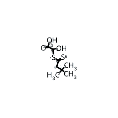 CC(C)(C)CC(=S)SC(O)C(=O)O